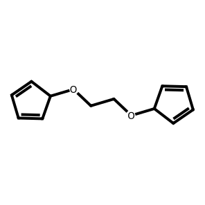 C1=CC(OCCOC2C=CC=C2)C=C1